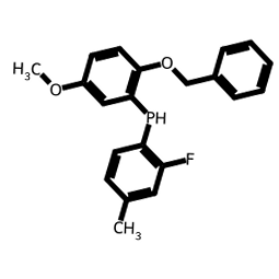 COc1ccc(OCc2ccccc2)c(Pc2ccc(C)cc2F)c1